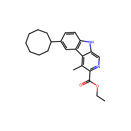 CCOC(=O)c1ncc2[nH]c3ccc(C4CCCCCCC4)cc3c2c1C